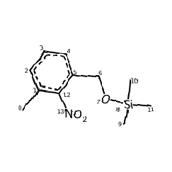 Cc1cccc(CO[Si](C)(C)C)c1[N+](=O)[O-]